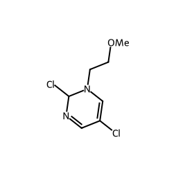 COCCN1C=C(Cl)C=NC1Cl